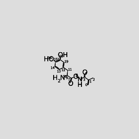 C=C(C)C(=O)NOC(=O)[C@@H](N)Cc1ccc(O)c(O)c1